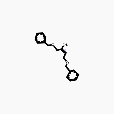 C/C(=C/COCc1ccccc1)COCc1ccccc1